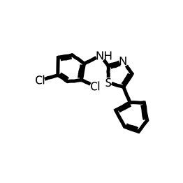 Clc1ccc(Nc2ncc(-c3ccccc3)s2)c(Cl)c1